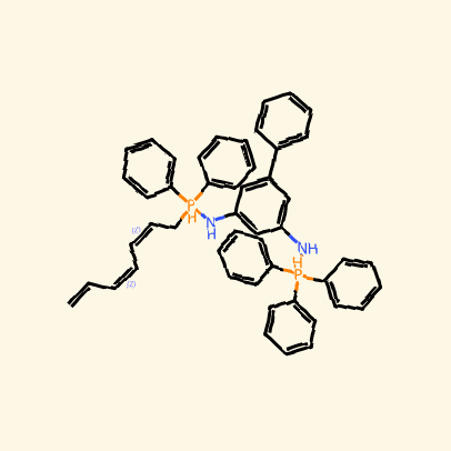 C=C/C=C\C=C/C[PH](Nc1cc(N[PH](c2ccccc2)(c2ccccc2)c2ccccc2)cc(-c2ccccc2)c1)(c1ccccc1)c1ccccc1